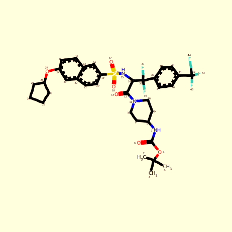 CC(C)(C)OC(=O)NC1CCN(C(=O)C(NS(=O)(=O)c2ccc3cc(OC4CCCC4)ccc3c2)C(F)(F)c2ccc(C(F)(F)F)cc2)CC1